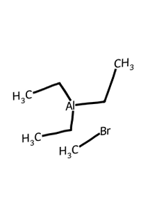 CBr.C[CH2][Al]([CH2]C)[CH2]C